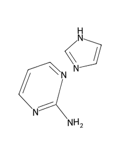 Nc1ncccn1.c1c[nH]cn1